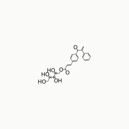 C=C(C(=O)c1ccc(C=CC(=O)OC[C@@H](O)[C@H](O)[C@@H](O)CO)cc1)c1ccccc1